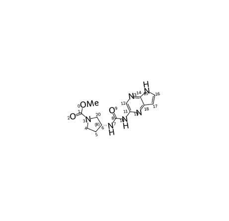 COC(=O)N1CC[C@@H](NC(=O)Nc2cnc3[nH]ccc3n2)C1